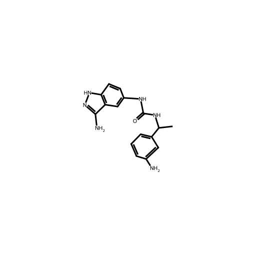 CC(NC(=O)Nc1ccc2[nH]nc(N)c2c1)c1cccc(N)c1